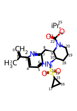 C=C(C)c1cccc(C[C@@H]2[C@H](NS(=O)(=O)C3CC3)CCCN2C(=O)OC(C)C)n1